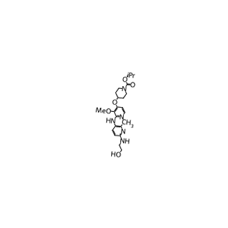 COc1c(OC2CCN(C(=O)OC(C)C)CC2)ccnc1Nc1ccc(NCCO)nc1C